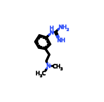 CN(C)CCc1cccc(NC(=N)N)c1